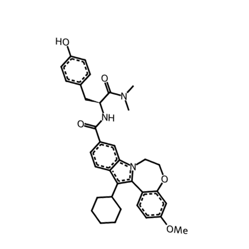 COc1ccc2c(c1)OCCn1c-2c(C2CCCCC2)c2ccc(C(=O)N[C@@H](Cc3ccc(O)cc3)C(=O)N(C)C)cc21